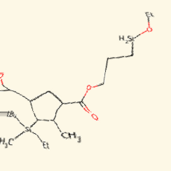 CCO[SiH2]CCCOC(=O)C1CC(C2CO2)C([Si](C)(CC)C(C)(C)C)C1C